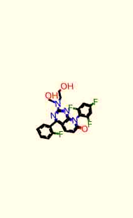 O=c1ccc2c(-c3ccccc3F)nc(N(CO)CCO)nc2n1-c1c(F)cc(F)cc1F